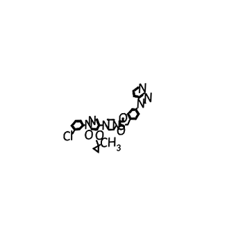 CC1(COc2c(N3CCN(S(=O)(=O)Cc4ccc(-n5cnc6ncccc65)cc4)CC3)cnn(-c3cccc(Cl)c3)c2=O)CC1